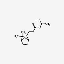 CC(C)OC(=O)C=CC1C2CCC(C2)C1(C)C